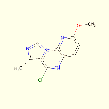 COc1ccc2nc(Cl)c3c(C)ncn3c2n1